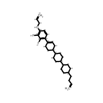 C=CCCC1CCC(C2CCC(C3CC=C(c4ccc(OCC=C)c(F)c4F)CC3)CC2)CC1